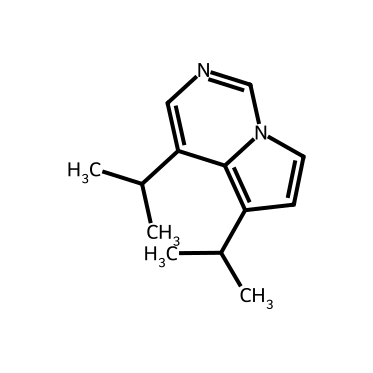 CC(C)c1ccn2cncc(C(C)C)c12